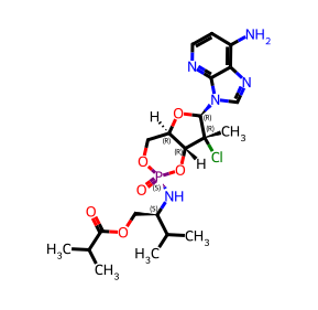 CC(C)C(=O)OC[C@@H](N[P@]1(=O)OC[C@H]2O[C@@H](n3cnc4c(N)ccnc43)[C@](C)(Cl)[C@@H]2O1)C(C)C